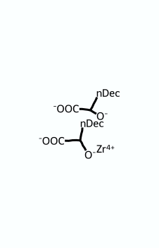 CCCCCCCCCCC([O-])C(=O)[O-].CCCCCCCCCCC([O-])C(=O)[O-].[Zr+4]